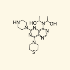 CC(O)N(c1ncnc2c(N3CCSCC3)nc(N3CCNCC3)nc12)C(C)O